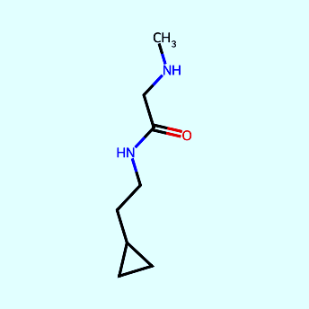 CNCC(=O)NCCC1CC1